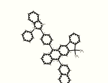 CC1(C)c2ccccc2-c2cc3c(-c4ccc(-c5nc6ccccc6n5-c5ccccc5)cc4)c4ccccc4c(-c4ccc5ccccc5c4)c3cc21